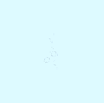 CC(=O)C1=CC=C(c2ncc(N3CCN(C(=O)CC(F)(F)F)CC3)nc2-c2ccncc2Cl)CC1